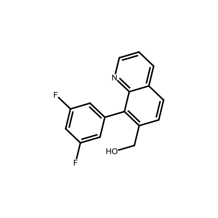 OCc1ccc2cccnc2c1-c1cc(F)cc(F)c1